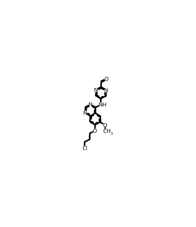 COc1cc2c(Nc3cnc(C=O)nc3)ncnc2cc1OCCCCl